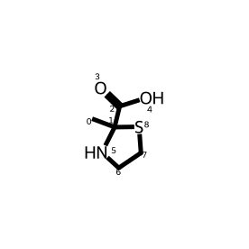 CC1(C(=O)O)NCCS1